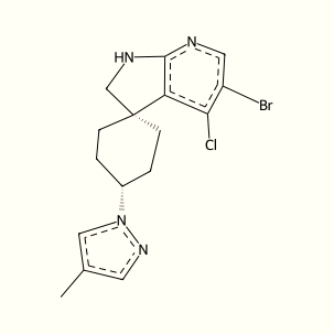 Cc1cnn([C@H]2CC[C@]3(CC2)CNc2ncc(Br)c(Cl)c23)c1